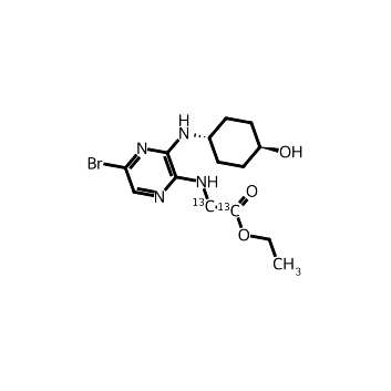 CCO[13C](=O)[13CH2]Nc1ncc(Br)nc1N[C@H]1CC[C@H](O)CC1